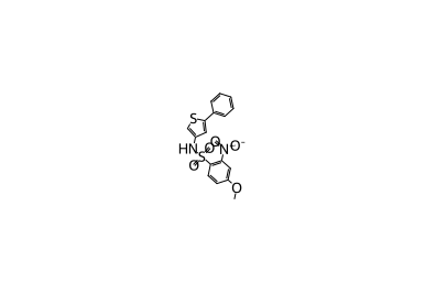 COc1ccc(S(=O)(=O)Nc2csc(-c3ccccc3)c2)c([N+](=O)[O-])c1